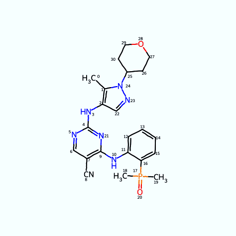 Cc1c(Nc2ncc(C#N)c(Nc3ccccc3P(C)(C)=O)n2)cnn1C1CCOCC1